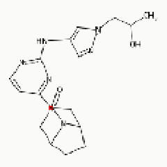 CC(O)Cn1cc(Nc2nccc(N3CC4CCC(C3)N4C=O)n2)cn1